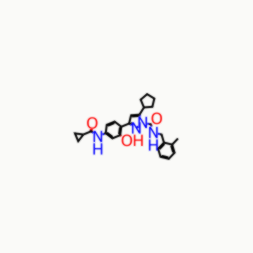 Cc1ccccc1CNC(=O)n1nc(-c2ccc(NC(=O)C3CC3)cc2O)cc1C1CCCC1